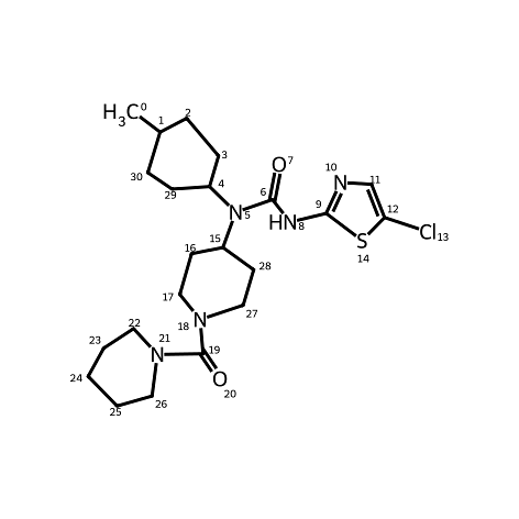 CC1CCC(N(C(=O)Nc2ncc(Cl)s2)C2CCN(C(=O)N3CCCCC3)CC2)CC1